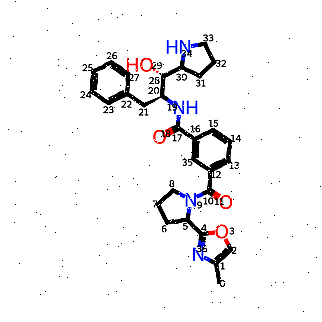 Cc1coc(C2CCCN2C(=O)c2cccc(C(=O)N[C@@H](Cc3ccccc3)[C@H](O)C3CCCN3)c2)n1